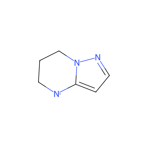 c1cc2n(n1)CCC[N]2